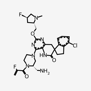 C=C(F)C(=O)N1CCN(c2nc(OC[C@@H]3C[C@@H](F)CN3C)nc3c2NC(=O)C2(CCc4c(Cl)cccc42)C3)C[C@@H]1CN